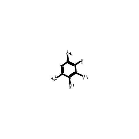 Cc1cc(C)c(Br)c(C)c1O